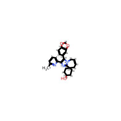 Cc1cccc(-c2nc3n(c2-c2ccc4c(c2)OCO4)CC=CCC32CCC(O)CC2)n1